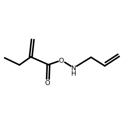 C=CCNOC(=O)C(=C)CC